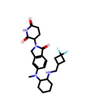 CN(c1ccc2c(c1)CN(C1CCC(=O)NC1=O)C2=O)C1CCCCC1NCC1CC(F)(F)C1